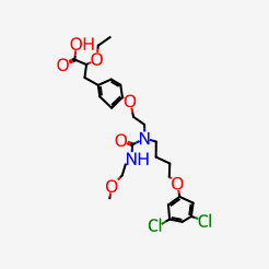 CCOC(Cc1ccc(OCCN(CCCCOc2cc(Cl)cc(Cl)c2)C(=O)NCCOC)cc1)C(=O)O